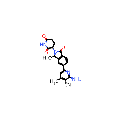 Cc1cc(-c2ccc3c(c2)[C@@H](C)N(C2CCC(=O)NC2=O)C3=O)nc(N)c1C#N